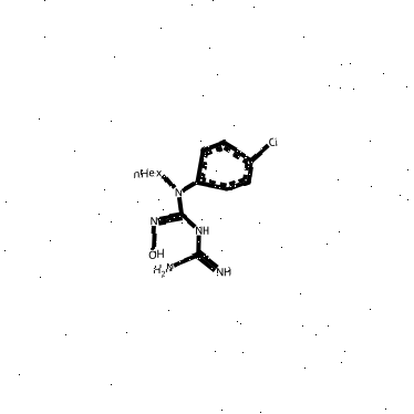 CCCCCCN(C(=NO)NC(=N)N)c1ccc(Cl)cc1